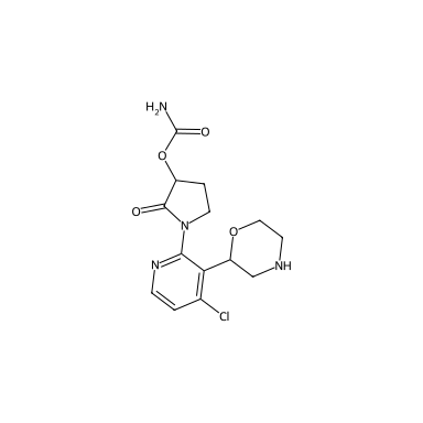 NC(=O)OC1CCN(c2nccc(Cl)c2C2CNCCO2)C1=O